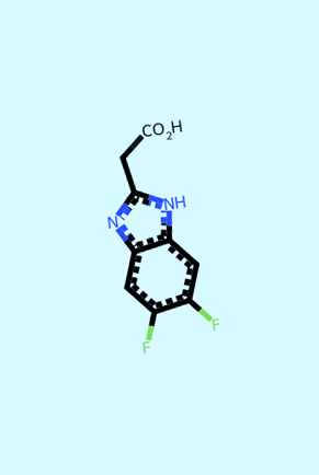 O=C(O)Cc1nc2cc(F)c(F)cc2[nH]1